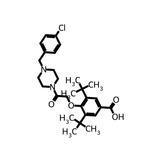 CC(C)(C)c1cc(C(=O)O)cc(C(C)(C)C)c1OCC(=O)N1CCN(Cc2ccc(Cl)cc2)CC1